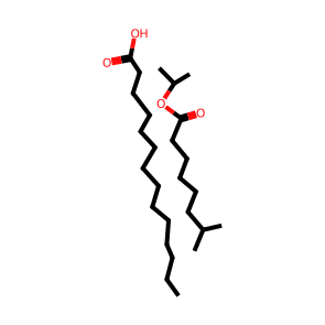 CC(C)CCCCCC(=O)OC(C)C.CCCCCCCCCCCCCC(=O)O